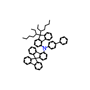 CCCCC(CC)C1(C(CC)CCCC)c2ccccc2-c2c(N(c3ccc(-c4ccccc4)cc3)c3cccc4c3-c3ccccc3C43c4ccccc4-c4ccccc43)cccc21